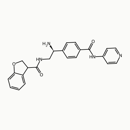 N[C@H](CNC(=O)C1COc2ccccc21)c1ccc(C(=O)Nc2ccncc2)cc1